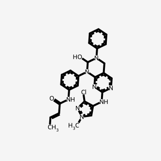 C/C=C/C(=O)Nc1cccc(N2c3nc(Nc4cn(C)nc4Cl)ncc3CN(c3ccccc3)C2O)c1